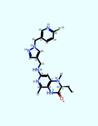 CC[C@H]1C(=O)Nc2c(cc(NCc3cnn(Cc4ccc(F)nc4)c3)nc2C)N1C